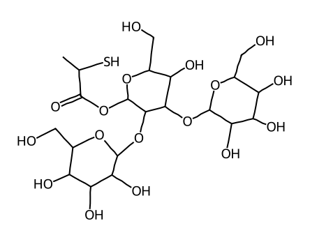 CC(S)C(=O)OC1OC(CO)C(O)C(OC2OC(CO)C(O)C(O)C2O)C1OC1OC(CO)C(O)C(O)C1O